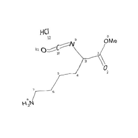 COC(=O)C(CCCCN)N=C=O.Cl